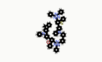 CC1(C)c2ccccc2-c2cc3c4cc(-c5ccc(-c6nc(-c7ccccc7)nc(-c7cccc(-c8cccc(-n9c%10ccccc%10c%10cc(-c%11ccc(-c%12nc(-c%13ccccc%13)nc(-c%13ccccc%13)n%12)c%12c%11sc%11ccccc%11%12)ccc%109)c8)c7)n6)c6c5oc5ccccc56)ccc4n(-c4ccccc4)c3cc21